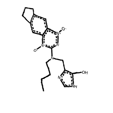 CCCCN(Cc1nc[nH]c1O)c1n[n+]([O-])c2cc3c(cc2[n+]1[O-])CCC3